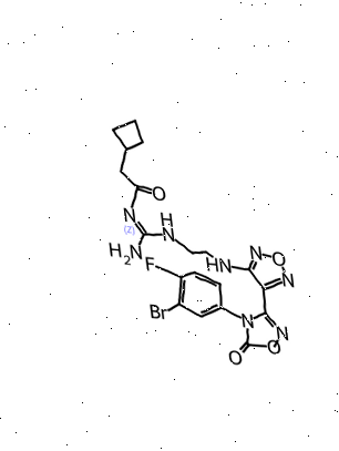 N/C(=N/C(=O)CC1CCC1)NCCNc1nonc1-c1noc(=O)n1-c1ccc(F)c(Br)c1